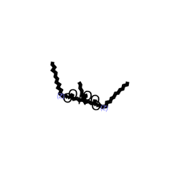 CCCCCCCCCCC/C=C\COC(=O)CCCN(CCCC(=O)OC/C=C\CCCCCCCCCCC)C(=O)CCCCC